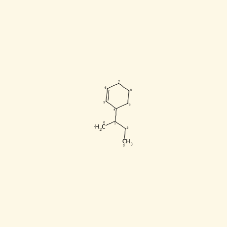 [CH2]C(CC)C1C=CCCC1